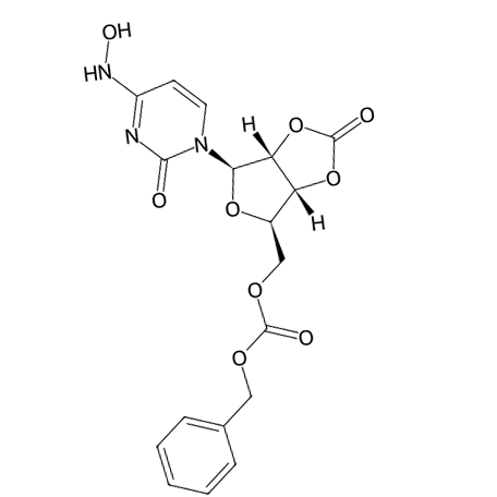 O=C(OCc1ccccc1)OC[C@H]1O[C@@H](n2ccc(NO)nc2=O)[C@@H]2OC(=O)O[C@@H]21